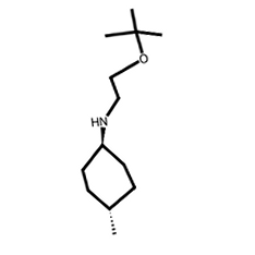 CC(C)(C)OCCN[C@H]1CC[C@H](C)CC1